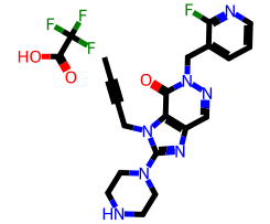 CC#CCn1c(N2CCNCC2)nc2cnn(Cc3cccnc3F)c(=O)c21.O=C(O)C(F)(F)F